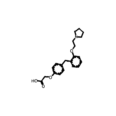 O=C(O)COc1ccc(Cc2[c]cccc2OCCN2CCCC2)cc1